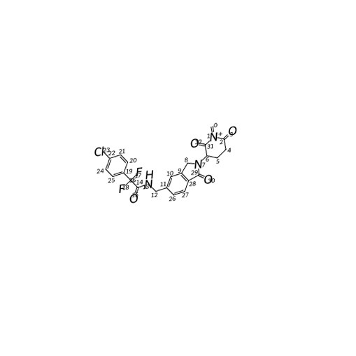 C=[N+]1C(=O)CCC(N2Cc3cc(CNC(=O)C(F)(F)c4ccc(Cl)cc4)ccc3C2=O)C1=O